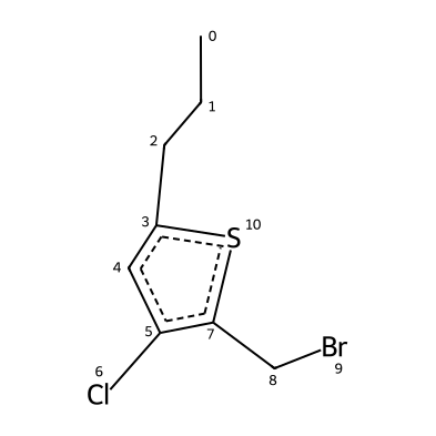 CCCc1cc(Cl)c(CBr)s1